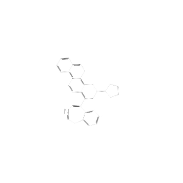 [c]1ccc2c(c1)C(C1=c3ccc4c(c3CC(C3CCCC3)C1)CC=c1ccccc1=4)=CN=CC2